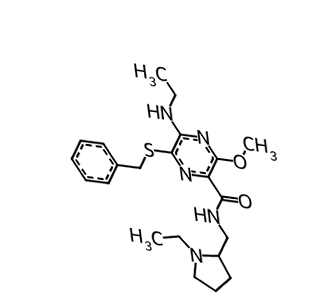 CCNc1nc(OC)c(C(=O)NCC2CCCN2CC)nc1SCc1ccccc1